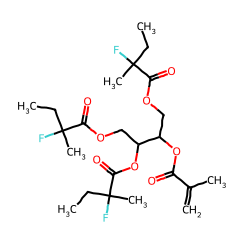 C=C(C)C(=O)OC(COC(=O)C(C)(F)CC)C(COC(=O)C(C)(F)CC)OC(=O)C(C)(F)CC